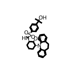 CC(C)(O)c1ccc(S(=O)(=O)N[C@H]2CCC[C@@H](N3c4ccccc4CCc4ccccc43)[C@@H]2O)cc1